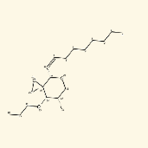 CCCCCCC/C=C\[C@@H]1OC[C@H](C)[C@H](OCCC)[C@]12CO2